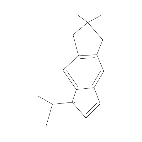 CC(C)[C]1C=Cc2cc3c(cc21)CC(C)(C)C3